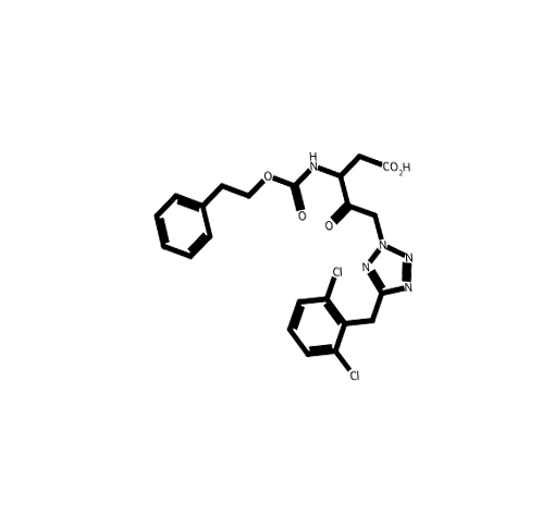 O=C(O)CC(NC(=O)OCCc1ccccc1)C(=O)Cn1nnc(Cc2c(Cl)cccc2Cl)n1